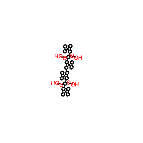 OCCOc1cc(-c2ccc3c(c2)C(c2ccccc2)(c2ccccc2)c2cc(-c4ccc5c(c4)C4(c6ccccc6-c6ccccc64)c4cc(-c6cc(OCCO)c(-c7ccc8c(c7)C7(c9ccccc9-c9ccccc97)c7ccccc7-8)cc6OCCO)ccc4-5)ccc2-3)c(OCCO)cc1-c1ccc2c(c1)C(c1ccccc1)(c1ccccc1)c1ccccc1-2